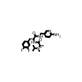 CC(C)N(C)[C@H](C)C(=O)N[C@@H](Cc1ccc(F)c(F)c1)C(=O)NCc1ccc(N)nc1